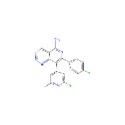 Cc1cc(-c2c(-c3ccc(F)cc3)nc(N)c3cncnc23)cc(Cl)n1